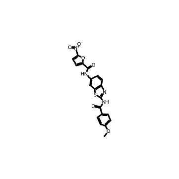 COc1ccc(C(=O)Nc2nc3ccc(NC(=O)c4ccc([N+](=O)[O-])o4)cc3s2)cc1